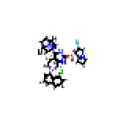 F[C@H]1CN2CCC[C@@]2(COc2nc3c(c([C@@H]4C[C@H]5CC[C@@H](C4)N5)n2)CCN(c2cccc4cccc(Cl)c24)C3)C1